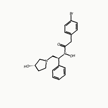 O=C(Cc1ccc(Br)cc1)N(O)[C@H](CN1CC[C@H](O)C1)c1ccccc1